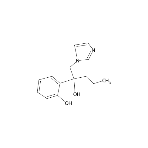 CCCC(O)(Cn1ccnc1)c1ccccc1O